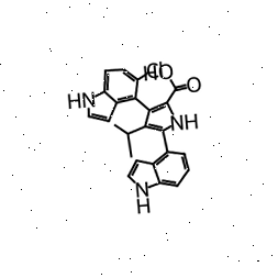 CC(C)c1c(-c2cccc3[nH]ccc23)[nH]c(C(=O)O)c1-c1c(Cl)ccc2[nH]ccc12